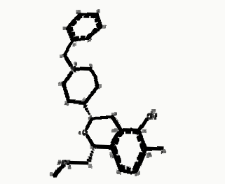 CNC[C@@H]1O[C@H](C2CCN(Cc3ccccc3)CC2)Cc2c1ccc(C)c2O